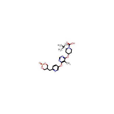 Cc1c(Oc2ccc(CC3COS(=O)OC3)nc2)ncnc1O[C@@H]1CCN(C(=O)O)[C@@H](C(C)(C)C)C1